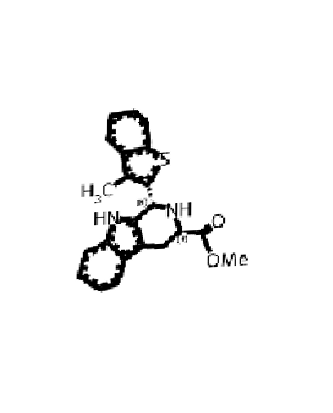 COC(=O)[C@H]1Cc2c([nH]c3ccccc23)[C@H](c2sc3ccccc3c2C)N1